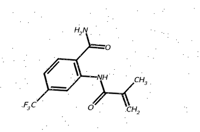 C=C(C)C(=O)Nc1cc(C(F)(F)F)ccc1C(N)=O